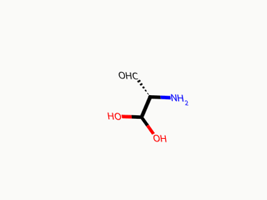 N[C@@H](C=O)C(O)O